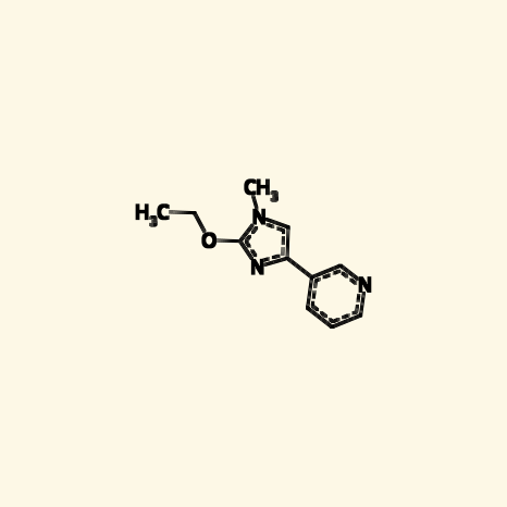 CCOc1nc(-c2cccnc2)cn1C